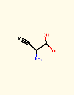 C#CC(N)C(O)O